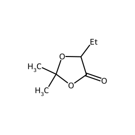 CCC1OC(C)(C)OC1=O